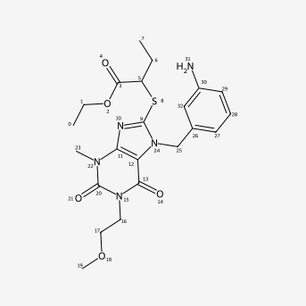 CCOC(=O)C(CC)Sc1nc2c(c(=O)n(CCOC)c(=O)n2C)n1Cc1cccc(N)c1